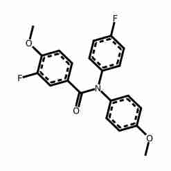 COc1ccc(N(C(=O)c2ccc(OC)c(F)c2)c2ccc(F)cc2)cc1